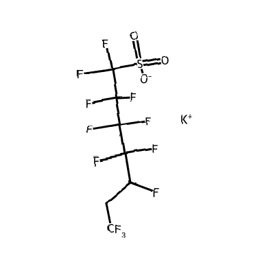 O=S(=O)([O-])C(F)(F)C(F)(F)C(F)(F)C(F)(F)C(F)CC(F)(F)F.[K+]